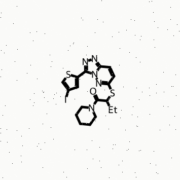 CCC(Sc1ccc2nnc(-c3cc(I)cs3)n2n1)C(=O)N1CCCCC1